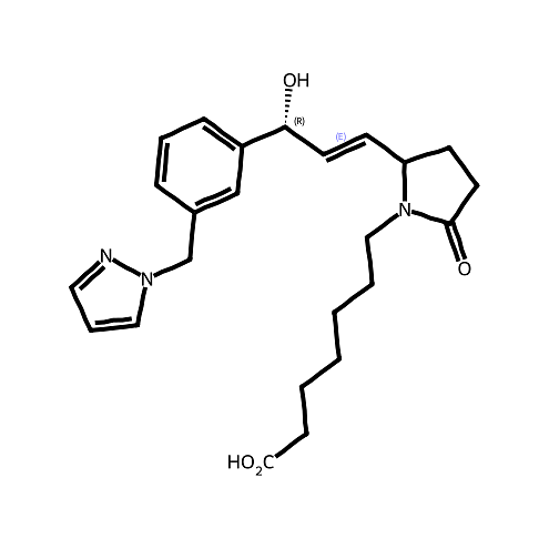 O=C(O)CCCCCCN1C(=O)CCC1/C=C/[C@@H](O)c1cccc(Cn2cccn2)c1